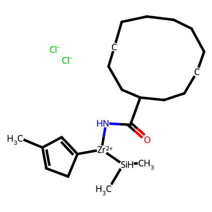 CC1=CC[C]([Zr+2]([NH]C(=O)C2CCCCCCCCCCC2)[SiH](C)C)=C1.[Cl-].[Cl-]